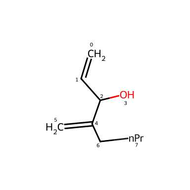 C=CC(O)C(=C)CCCC